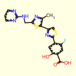 Cc1nc(CNc2ncccn2)sc1-c1csc(-c2cc(O)c(C(=O)O)cc2F)n1